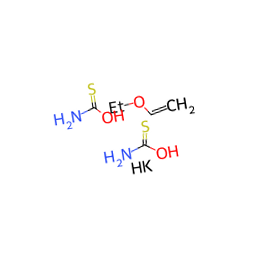 C=COCC.NC(O)=S.NC(O)=S.[KH]